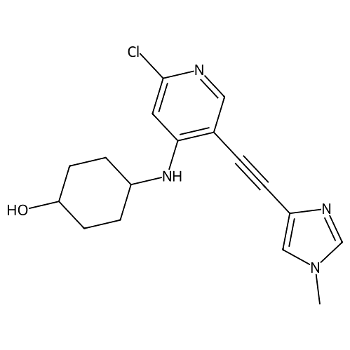 Cn1cnc(C#Cc2cnc(Cl)cc2NC2CCC(O)CC2)c1